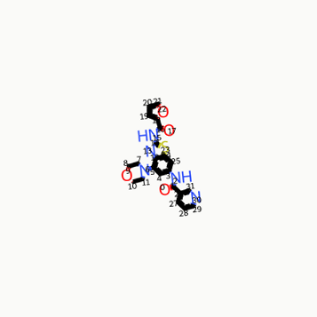 O=C(Nc1cc(N2CCOCC2)c2nc(NC(=O)c3ccco3)sc2c1)c1cccnc1